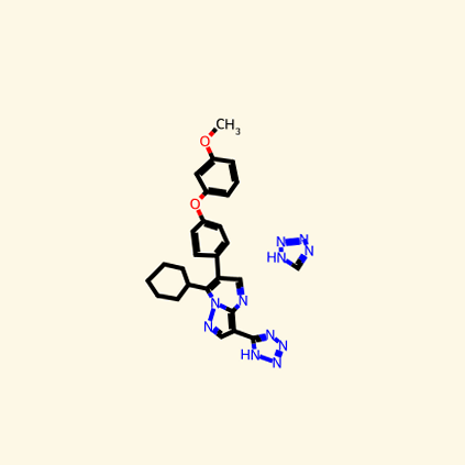 COc1cccc(Oc2ccc(-c3cnc4c(-c5nnn[nH]5)cnn4c3C3CCCCC3)cc2)c1.c1nnn[nH]1